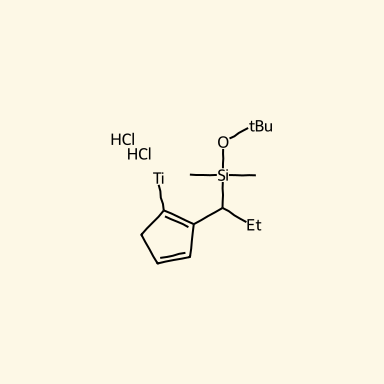 CCC(C1=[C]([Ti])CC=C1)[Si](C)(C)OC(C)(C)C.Cl.Cl